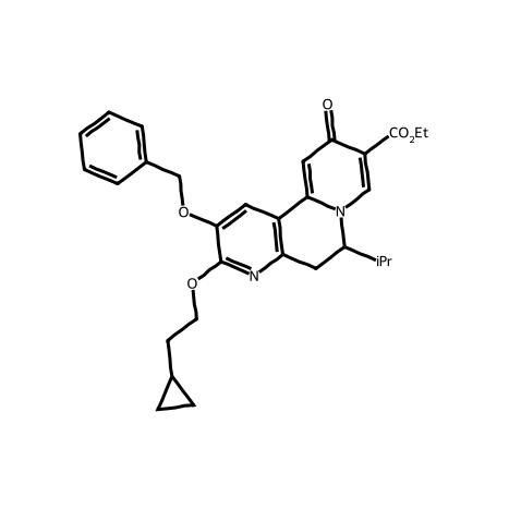 CCOC(=O)c1cn2c(cc1=O)-c1cc(OCc3ccccc3)c(OCCC3CC3)nc1CC2C(C)C